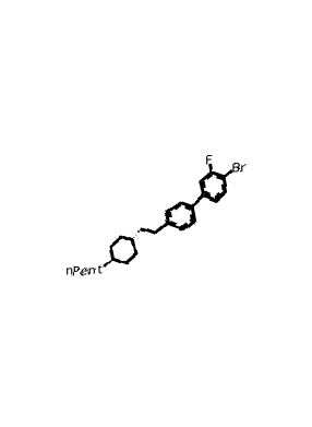 CCCCC[C@H]1CC[C@H](CCc2ccc(-c3ccc(Br)c(F)c3)cc2)CC1